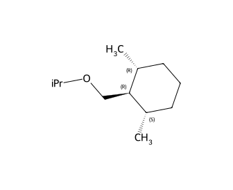 CC(C)OC[C@H]1[C@H](C)CCC[C@@H]1C